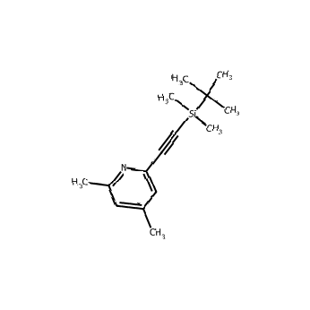 Cc1cc(C)nc(C#C[Si](C)(C)C(C)(C)C)c1